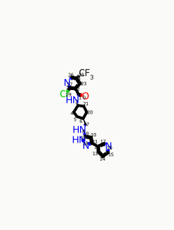 O=C(N[C@H]1CC[C@H](CNc2cc(-c3cccnc3)n[nH]2)CC1)c1cc(C(F)(F)F)cnc1Cl